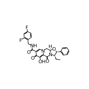 CC[C@@H]1[C@H](c2ccccc2)O[C@@H]2Cn3cc(C(=O)NCc4ccc(F)cc4F)c(=O)c(O)c3C(=O)N12